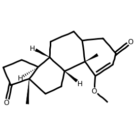 COC1=CC(=O)CC2CC[C@@H]3[C@@H](CC[C@]4(C)C(=O)CC[C@@H]34)[C@@]12C